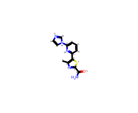 Cc1nc(C(N)=O)sc1-c1cccc(-n2ccnc2)n1